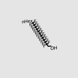 CCCCCCC(F)(F)C(F)(F)C(F)(F)C(F)(F)C(F)(F)C(F)(F)C(F)(F)C(F)(F)C(F)(F)C(F)(F)C(F)(F)CCO